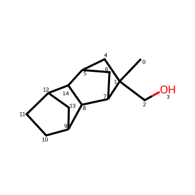 CC1(CO)CC2CC1C1C3CCC(C3)C21